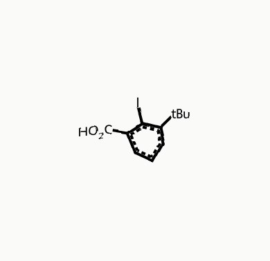 CC(C)(C)c1cccc(C(=O)O)c1I